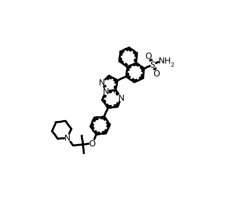 CC(C)(CN1CCCCC1)Oc1ccc(-c2cnc3c(-c4ccc(S(N)(=O)=O)c5ccccc45)cnn3c2)cc1